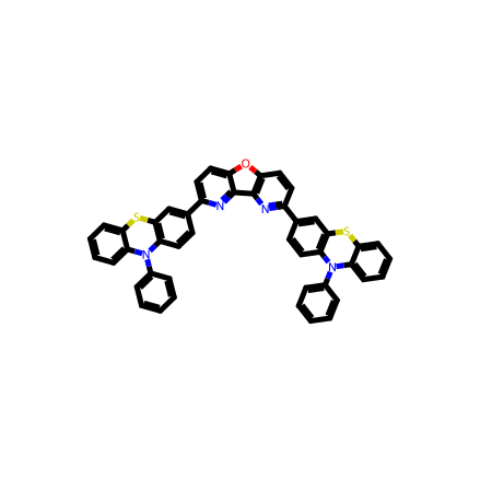 c1ccc(N2c3ccccc3Sc3cc(-c4ccc5oc6ccc(-c7ccc8c(c7)Sc7ccccc7N8c7ccccc7)nc6c5n4)ccc32)cc1